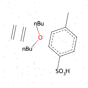 C=C.C=C.CCCCOCCCC.Cc1ccc(S(=O)(=O)O)cc1